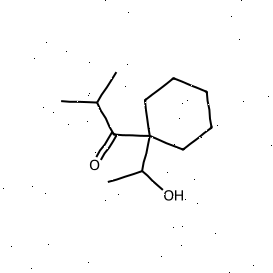 CC(C)C(=O)C1(C(C)O)CCCCC1